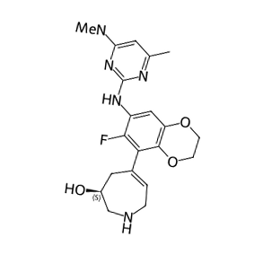 CNc1cc(C)nc(Nc2cc3c(c(C4=CCNC[C@@H](O)C4)c2F)OCCO3)n1